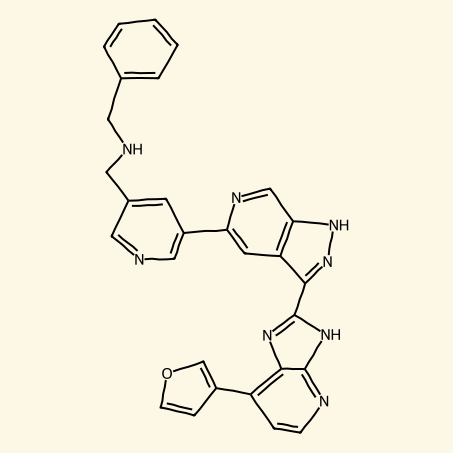 c1ccc(CNCc2cncc(-c3cc4c(-c5nc6c(-c7ccoc7)ccnc6[nH]5)n[nH]c4cn3)c2)cc1